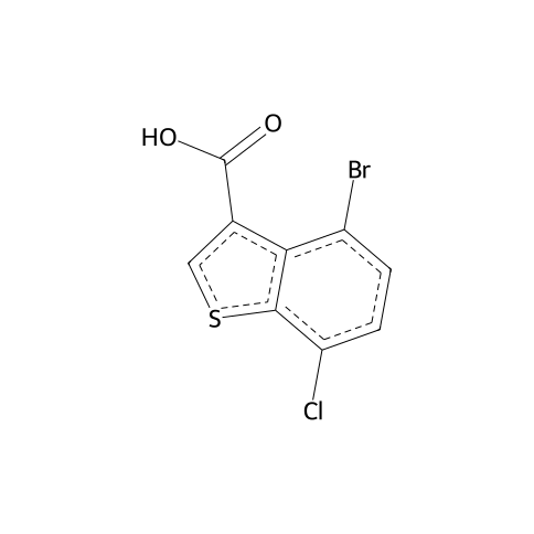 O=C(O)c1csc2c(Cl)ccc(Br)c12